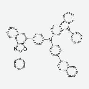 c1ccc(-c2nc3c(o2)c(-c2ccc(N(c4ccc(-c5ccc6ccccc6c5)cc4)c4ccc5c6ccccc6n(-c6ccccc6)c5c4)cc2)cc2ccccc23)cc1